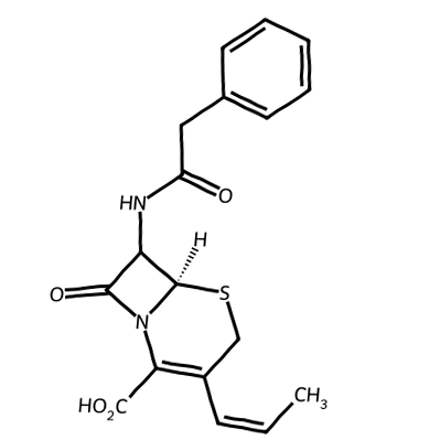 C/C=C\C1=C(C(=O)O)N2C(=O)C(NC(=O)Cc3ccccc3)[C@H]2SC1